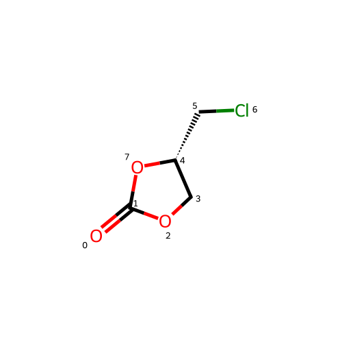 O=C1OC[C@@H](CCl)O1